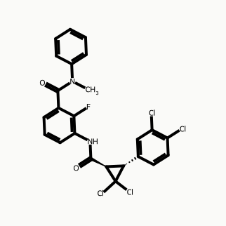 CN(C(=O)c1cccc(NC(=O)[C@H]2[C@H](c3ccc(Cl)c(Cl)c3)C2(Cl)Cl)c1F)c1ccccc1